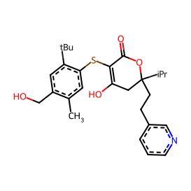 Cc1cc(SC2=C(O)CC(CCc3cccnc3)(C(C)C)OC2=O)c(C(C)(C)C)cc1CO